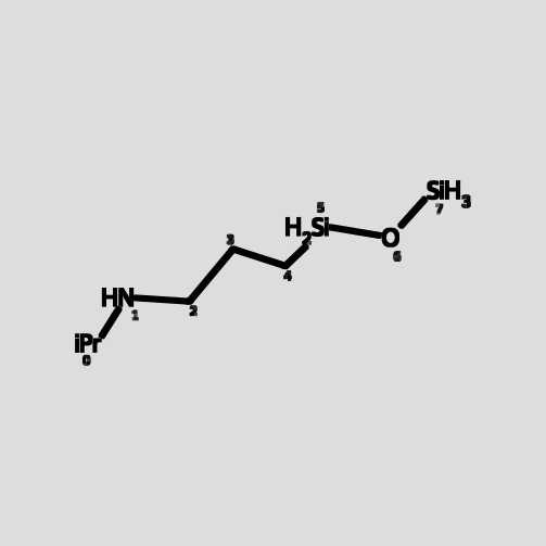 CC(C)NCCC[SiH2]O[SiH3]